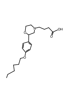 CCCCCCOc1ccc(C2CN(CCCC(=O)O)CCO2)cc1